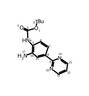 CC(C)(C)OC(=O)Nc1ccc(-c2ncccn2)cc1N